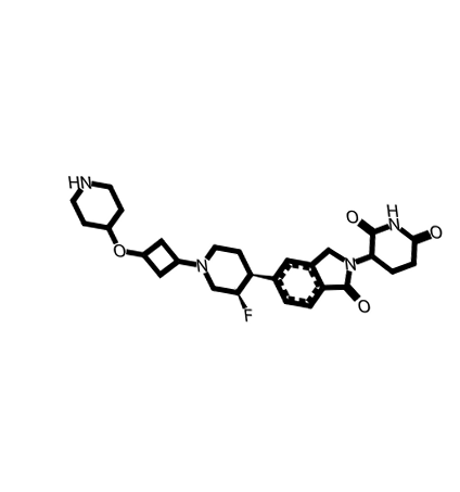 O=C1CCC(N2Cc3cc([C@@H]4CCN(C5CC(OC6CCNCC6)C5)C[C@@H]4F)ccc3C2=O)C(=O)N1